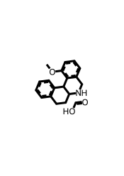 COc1cccc2c1C1c3ccccc3CCC1NC2.O=CO